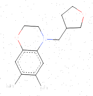 CCCc1cc2c(cc1CCC)N(CC1CCOC1)CCO2